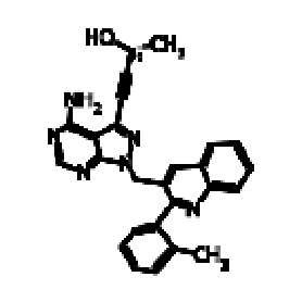 Cc1ccccc1-c1nc2ccccc2cc1Cn1nc(C#C[C@@H](C)O)c2c(N)ncnc21